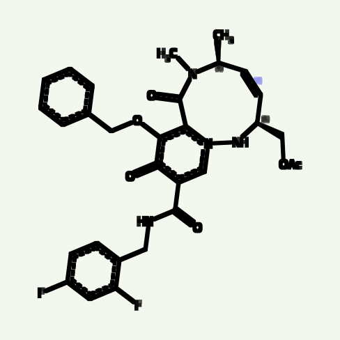 CC(=O)OC[C@@H]1/C=C\[C@H](C)N(C)C(=O)c2c(OCc3ccccc3)c(=O)c(C(=O)NCc3ccc(F)cc3F)cn2N1